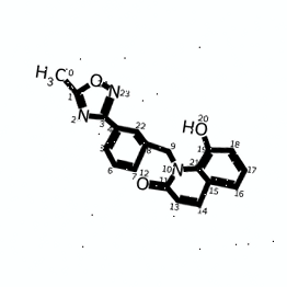 Cc1nc(-c2cccc(Cn3c(=O)ccc4cccc(O)c43)c2)no1